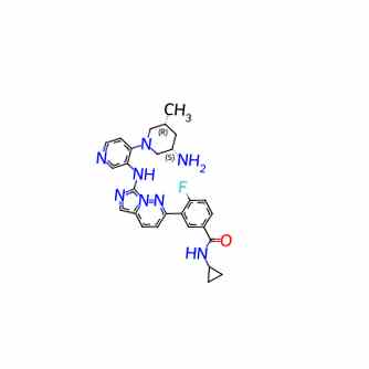 C[C@@H]1C[C@H](N)CN(c2ccncc2Nc2ncc3ccc(-c4cc(C(=O)NC5CC5)ccc4F)nn23)C1